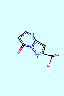 O=C(O)c1cc2nccc(=O)n2[nH]1